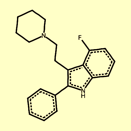 Fc1cccc2[nH]c(-c3ccccc3)c(CCN3CCCCC3)c12